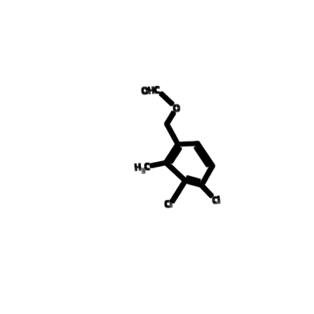 Cc1c(COC=O)ccc(Cl)c1Cl